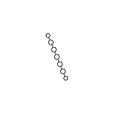 C1CCC(C2CCC(C3CCC(C4CCC(C5CCC(C6CCC(C7CCCC7)CC6)CC5)CC4)CC3)CC2)C1